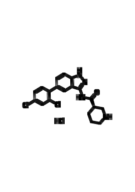 Cl.O=C(Nc1n[nH]c2ccc(-c3ccc(Cl)cc3Cl)cc12)[C@@H]1CCCNC1